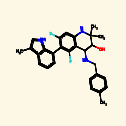 Cc1ccc(CNC2c3c(cc(F)c(-c4cccc5c(C)c[nH]c45)c3F)NC(C)(C)C2O)cc1